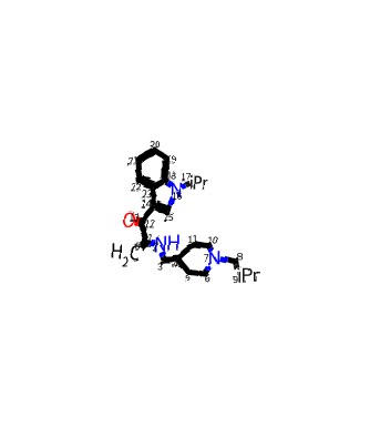 C=C(NCC1CCN(CC(C)C)CC1)C(=O)c1cn(C(C)C)c2ccccc12